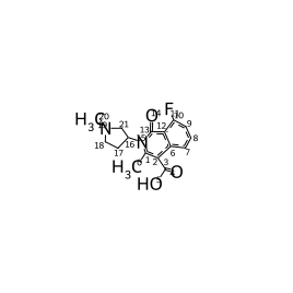 Cc1c(C(=O)O)c2cccc(F)c2c(=O)n1C1CCN(C)C1